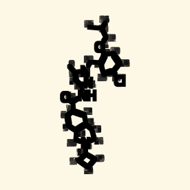 Cc1cc(NC(=O)c2ccc3c(c2)CCN(C2CCC2)C3)nn1Cc1cc(Cl)ccc1OCC(C)C